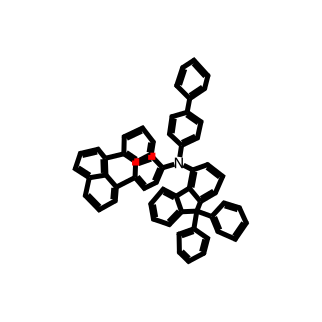 c1ccc(-c2ccc(N(c3ccc(-c4cccc5cccc(-c6ccccc6)c45)cc3)c3cccc4c3-c3ccccc3C4(c3ccccc3)c3ccccc3)cc2)cc1